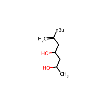 C=C(CCCC)CC(O)CC(C)O